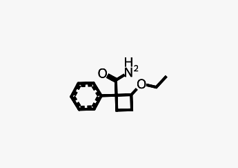 CCOC1CCC1(C(N)=O)c1ccccc1